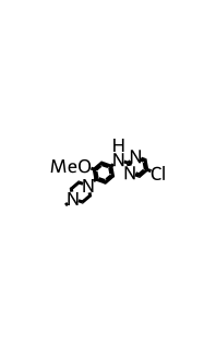 COc1cc(Nc2ncc(Cl)cn2)ccc1N1CCN(C)CC1